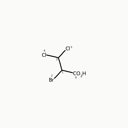 O=C(O)C(Br)C(Cl)Cl